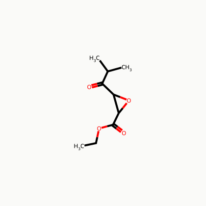 CCOC(=O)C1OC1C(=O)C(C)C